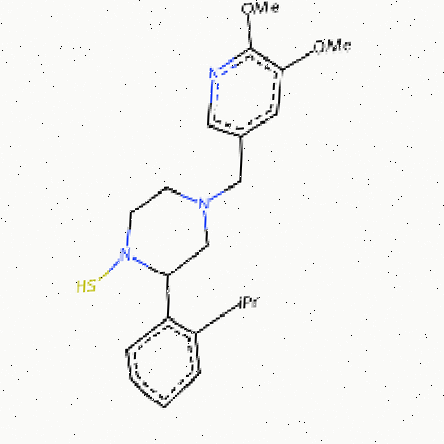 COc1cc(CN2CCN(S)C(c3ccccc3C(C)C)C2)cnc1OC